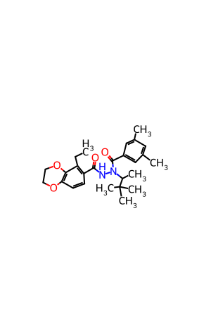 CCc1c(C(=O)NN(C(=O)c2cc(C)cc(C)c2)C(C)C(C)(C)C)ccc2c1OCCO2